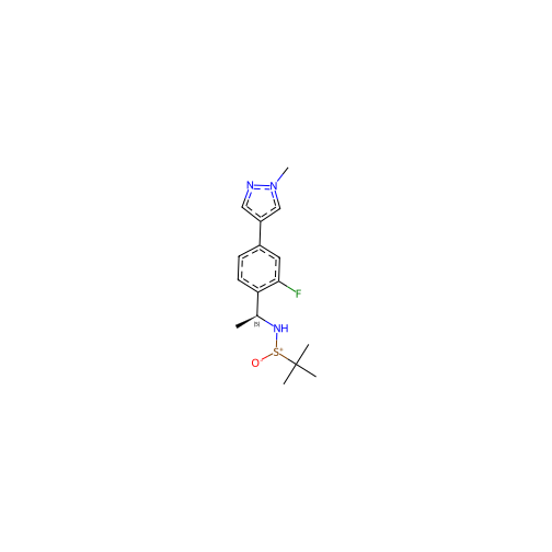 C[C@H](N[S+]([O-])C(C)(C)C)c1ccc(-c2cnn(C)c2)cc1F